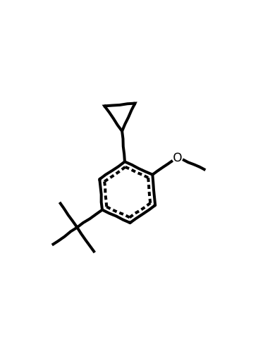 COc1ccc(C(C)(C)C)cc1C1CC1